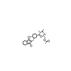 CC(=O)OCC1O[C@@H](c2ccc(Cl)c(Cn3nc4ccccn4c3=O)c2)C(C)[C@@H](C)[C@@H]1C